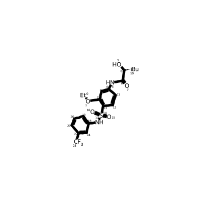 CCOc1cc(NC(=O)C(O)[C@@H](C)CC)ccc1S(=O)(=O)Nc1cccc(C(F)(F)F)c1